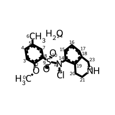 COc1ccc(C)cc1S(=O)(=O)N(Cl)c1cccc2c1CCNC2.O